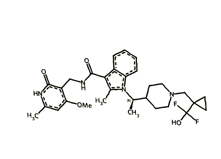 COc1cc(C)[nH]c(=O)c1CNC(=O)c1c(C)n([C@H](C)C2CCN(CC3(C(O)(F)F)CC3)CC2)c2ccccc12